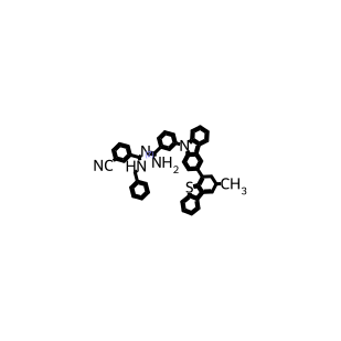 CC1C=c2c(sc3ccccc23)=C(c2ccc3c(c2)c2ccccc2n3-c2cccc(/C(N)=N/C(NCc3ccccc3)c3cccc(C#N)c3)c2)C1